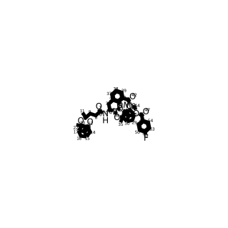 COc1c(CC(NC(=O)CCC2(C)OC3CC4CC(C4(C)C)C3(C)O2)B2OC3CC4CC(C4(C)C)C3(C)O2)cccc1C(=O)OCOC(=O)c1ccc(F)cc1